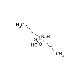 CCCCCCCCC(CCCCCCCC)S(=O)(=O)O.[NaH]